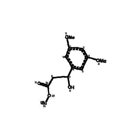 COc1cc(OC)cc(C(O)CC(=O)OC(C)(C)C)c1